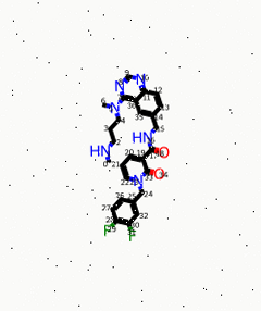 CNCCCN(C)c1ncnc2ccc(CNC(=O)c3cccn(Cc4ccc(F)c(F)c4)c3=O)cc12